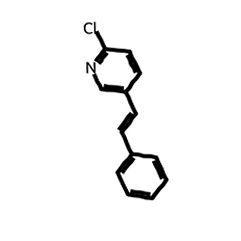 Clc1ccc(C=Cc2ccccc2)cn1